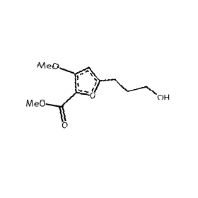 COC(=O)c1oc(CCCO)cc1OC